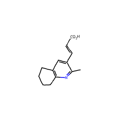 Cc1nc2c(cc1C=CC(=O)O)CCCC2